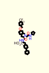 O=C(CN1Cc2cc(OCc3ccc(C(F)(F)F)cc3)ccc2C[C@H]1C(=O)N[C@@H](Cc1ccc(-c2ccccc2)cc1)C(=O)O)NC1CCCC1